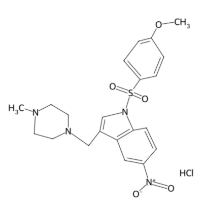 COc1ccc(S(=O)(=O)n2cc(CN3CCN(C)CC3)c3cc([N+](=O)[O-])ccc32)cc1.Cl